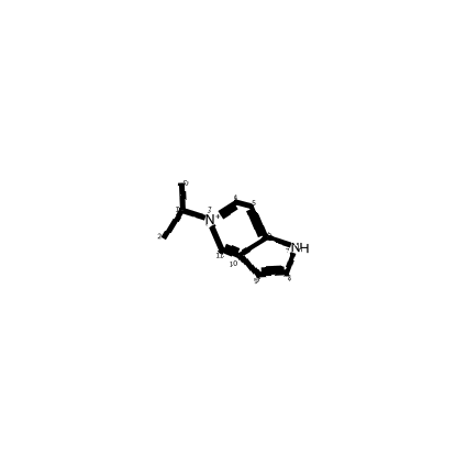 CC(C)[n+]1ccc2[nH]ccc2c1